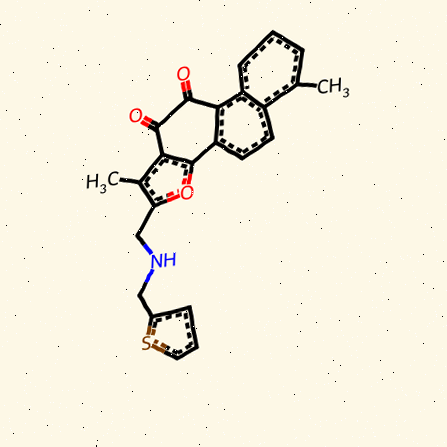 Cc1c(CNCc2cccs2)oc2c1C(=O)C(=O)c1c-2ccc2c(C)cccc12